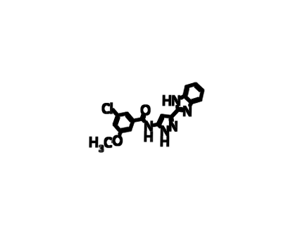 COc1cc(Cl)cc(C(=O)Nc2cc(-c3nc4ccccc4[nH]3)n[nH]2)c1